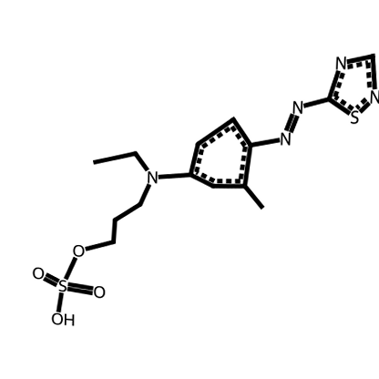 CCN(CCCOS(=O)(=O)O)c1ccc(/N=N/c2ncns2)c(C)c1